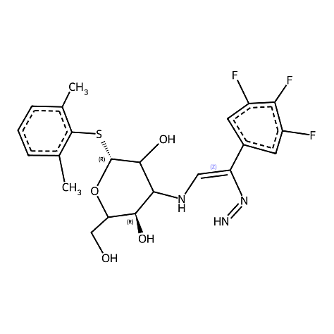 Cc1cccc(C)c1S[C@H]1OC(CO)[C@H](O)C(N/C=C(\N=N)c2cc(F)c(F)c(F)c2)C1O